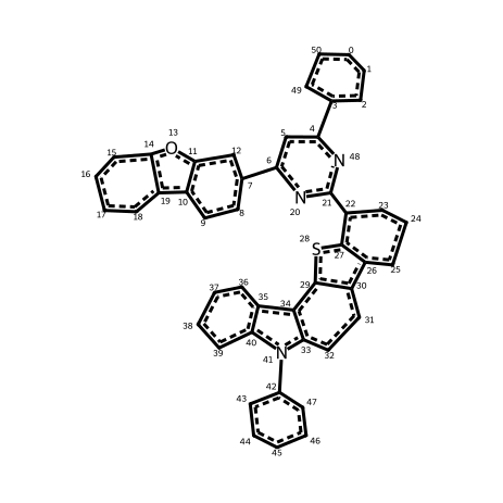 c1ccc(-c2cc(-c3ccc4c(c3)oc3ccccc34)nc(-c3cccc4c3sc3c4ccc4c3c3ccccc3n4-c3ccccc3)n2)cc1